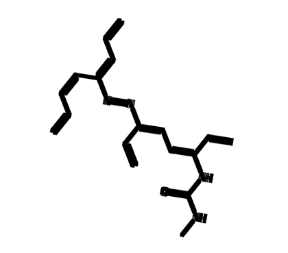 C=C/C=C\C(=C/C=C)N=N/C(C=C)=C/C=C(\C=C)NC(=O)NC